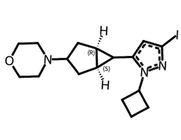 Ic1cc(C2[C@H]3CC(N4CCOCC4)C[C@@H]23)n(C2CCC2)n1